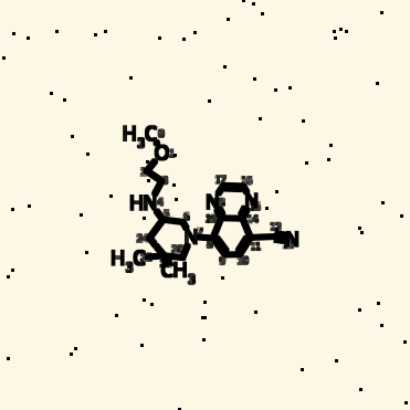 COCCNC1CN(c2ccc(C#N)c3nccnc23)CC(C)(C)C1